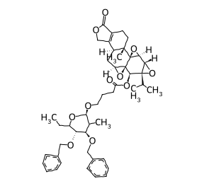 CCC1O[C@@H](OCCCC(=O)O[C@@H]2[C@@]3(C(C)C)O[C@H]3[C@@H]3O[C@]34[C@]23O[C@H]3C[C@H]2C3=C(CC[C@@]24C)C(=O)OC3)C(C)[C@@H](OCc2ccccc2)[C@@H]1OCc1ccccc1